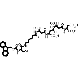 O=C(O)CC(NC(=O)CC(NC(=O)CC(NC(=O)CC(NC(=O)CCCCCNC(=O)C(CS)NC(=O)OCC1c2ccccc2-c2ccccc21)C(=O)O)C(=O)O)C(=O)O)C(=O)O